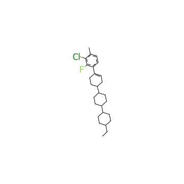 CCC1CCC(C2CCC(C3CC=C(c4ccc(C)c(Cl)c4F)CC3)CC2)CC1